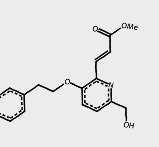 COC(=O)C=Cc1nc(CO)ccc1OCCc1ccccc1